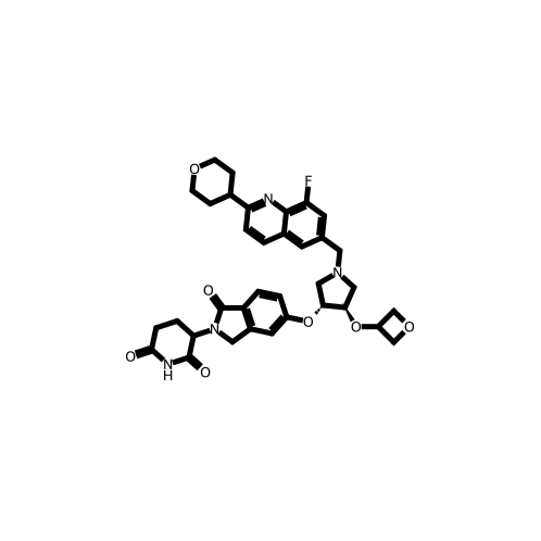 O=C1CCC(N2Cc3cc(O[C@@H]4CN(Cc5cc(F)c6nc(C7CCOCC7)ccc6c5)C[C@H]4OC4COC4)ccc3C2=O)C(=O)N1